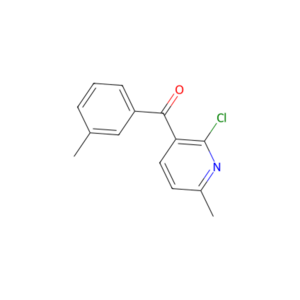 Cc1cccc(C(=O)c2ccc(C)nc2Cl)c1